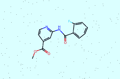 COC(=O)c1ccnc(NC(=O)c2ccccc2F)c1